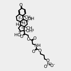 C[C@]12C=CC(=O)C=C1CC[C@H]1[C@@H]3C[C@@H](O)[C@](O)(C(=O)COC(=O)CNC(=O)OCCCO[N+](=O)[O-])[C@@]3(C)C[C@H](O)[C@@]12F